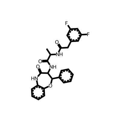 CC(NC(=O)Cc1cc(F)cc(F)c1)C(=O)NC1C(=O)Nc2ccccc2OC1c1ccccc1